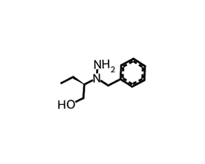 CC[C@H](CO)N(N)Cc1ccccc1